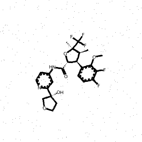 COc1c([C@H]2[C@H](C(=O)Nc3ccnc([C@@]4(O)CCOC4)c3)O[C@@](C)(C(F)(F)F)[C@H]2C)ccc(F)c1F